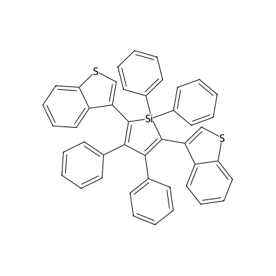 c1ccc(C2=C(c3csc4ccccc34)[Si](c3ccccc3)(c3ccccc3)C(c3csc4ccccc34)=C2c2ccccc2)cc1